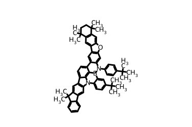 CC(C)(C)c1ccc(N2B3c4cc(C(C)(C)C)ccc4-n4c5cc6c(cc5c5ccc(c3c54)-c3cc4c(cc32)oc2cc3c(cc24)C(C)(C)CCC3(C)C)C(C)(C)c2ccccc2-6)cc1